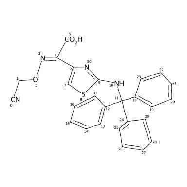 N#CCO/N=C(/C(=O)O)c1csc(NC(c2ccccc2)(c2ccccc2)c2ccccc2)n1